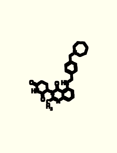 Cc1nc2cccc(NCc3ccc(CN4CCCCCC4)cc3)c2c(=O)n1C1CCC(=O)NC1=O